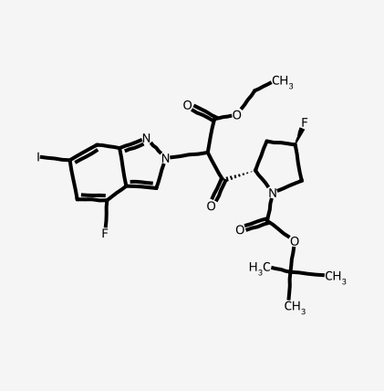 CCOC(=O)C(C(=O)[C@@H]1C[C@@H](F)CN1C(=O)OC(C)(C)C)n1cc2c(F)cc(I)cc2n1